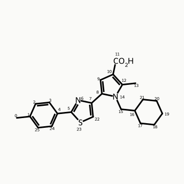 Cc1ccc(-c2nc(-c3cc(C(=O)O)c(C)n3CC3CCCCC3)cs2)cc1